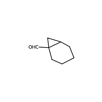 O=[C]C12CCCCC1C2